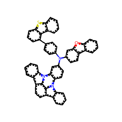 c1ccc2c(c1)oc1cc(N(c3ccc(-c4cccc5sc6ccccc6c45)cc3)c3ccc4c(c3)n3c5ccccc5c5ccc6c7ccccc7n4c6c53)ccc12